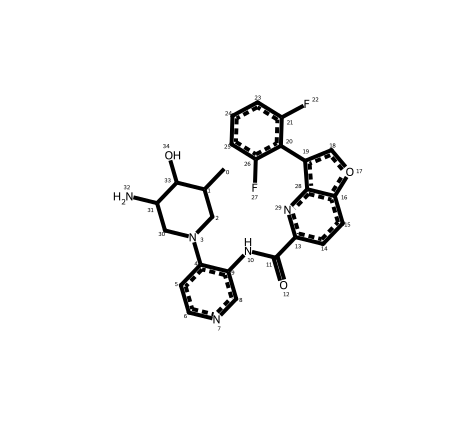 CC1CN(c2ccncc2NC(=O)c2ccc3occ(-c4c(F)cccc4F)c3n2)CC(N)C1O